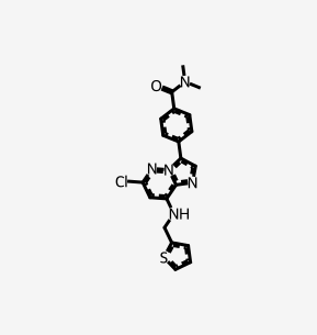 CN(C)C(=O)c1ccc(-c2cnc3c(NCc4cccs4)cc(Cl)nn23)cc1